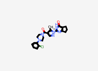 Cc1c(C(=O)N2CCN(c3ccccc3Cl)CC2)cnn1-c1nc2c(c(=O)[nH]1)CCC2